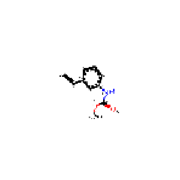 C=Cc1cccc(NC(=O)OC(C)(C)C)c1